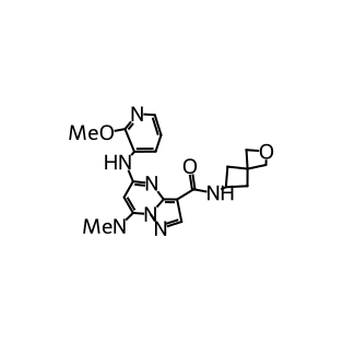 CNc1cc(Nc2cccnc2OC)nc2c(C(=O)NC3CC4(COC4)C3)cnn12